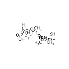 CC(C)(COCCC(C)(C)OCCC(C)(C)OCC(=O)O)CC(C)(C)C(S)CS